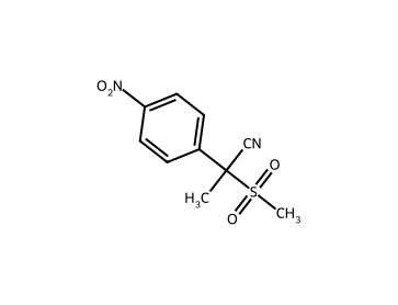 CC(C#N)(c1ccc([N+](=O)[O-])cc1)S(C)(=O)=O